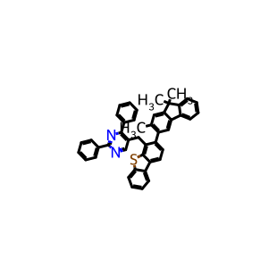 Cc1cc2c(cc1-c1ccc3c(sc4ccccc43)c1Cc1cnc(-c3ccccc3)nc1-c1ccccc1)-c1ccccc1C2(C)C